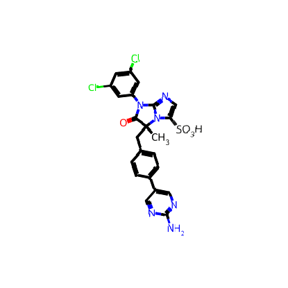 CC1(Cc2ccc(-c3cnc(N)nc3)cc2)C(=O)N(c2cc(Cl)cc(Cl)c2)c2ncc(S(=O)(=O)O)n21